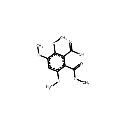 COC(=O)c1c(OC)cc(OC)c(OC)c1C(=O)O